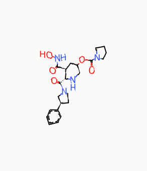 O=C(NO)[C@H]1CC(OC(=O)N2CCCC2)CN[C@@H]1C(=O)N1CC[C@@H](c2ccccc2)C1